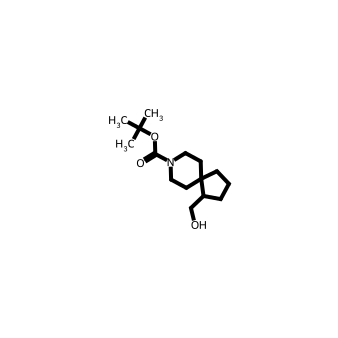 CC(C)(C)OC(=O)N1CCC2(CCCC2CO)CC1